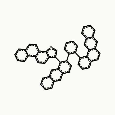 c1ccc(-c2cccc3ccc4cc5ccccc5cc4c23)c(-c2ccc3cc4ccccc4cc3c2-c2coc3c2ccc2c4ccccc4ccc23)c1